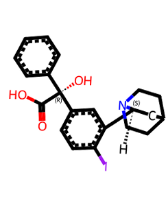 O=C(O)[C@@](O)(c1ccccc1)c1ccc(I)c([C@@H]2CC3CCN2CC3)c1